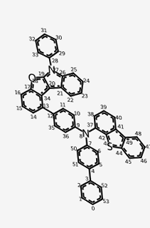 c1ccc(-c2ccc(N(c3ccc(-c4cccc5oc6c(c7ccccc7n6-c6ccccc6)c45)cc3)c3cccc4c3sc3ccccc34)cc2)cc1